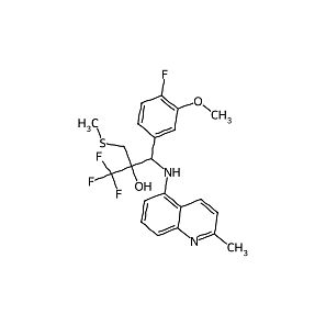 COc1cc(C(Nc2cccc3nc(C)ccc23)C(O)(CSC)C(F)(F)F)ccc1F